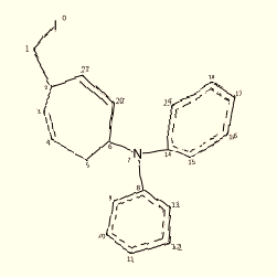 ICC1C=CCC(N(c2ccccc2)c2ccccc2)C=C1